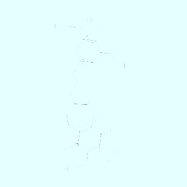 COC1=C(OC)C(=O)C2=C(CCC(CCOc3cc(OC)c(OC)c(OC)c3)CC2)C1=O